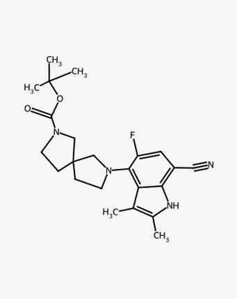 Cc1[nH]c2c(C#N)cc(F)c(N3CCC4(CCN(C(=O)OC(C)(C)C)C4)C3)c2c1C